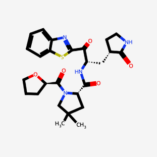 CC1(C)C[C@@H](C(=O)N[C@@H](C[C@@H]2CCNC2=O)C(=O)c2nc3ccccc3s2)N(C(=O)[C@H]2CCCO2)C1